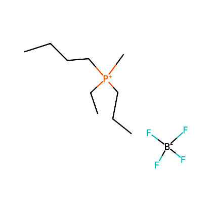 CCCC[P+](C)(CC)CCC.F[B-](F)(F)F